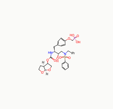 CC(C)CN(C[C@@H](O)[C@H](Cc1ccc(OCP(=O)(O)O)cc1)NC(=O)O[C@H]1CO[C@H]2OCC[C@H]21)S(=O)(=O)c1ccccc1